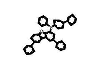 c1ccc(-c2ccc(N(c3ccccc3)c3cc(-c4ccccc4)cc4c3oc3ccc(-c5ccccc5)cc34)cc2)cc1